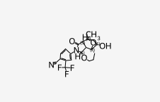 C[C@@]12C[C@H](O)[C@]3(CCCO[C@H]4C3[C@@H]1C(=O)N4c1ccc(C#N)c(C(F)(F)F)c1)O2